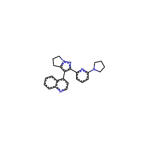 c1cc(-c2nn3c(c2-c2ccnc4ccccc24)CCC3)nc(N2CCCC2)c1